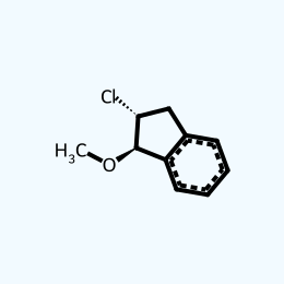 CO[C@@H]1c2ccccc2C[C@H]1Cl